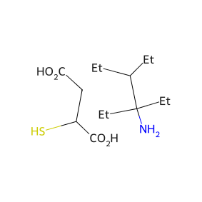 CCC(CC)C(N)(CC)CC.O=C(O)CC(S)C(=O)O